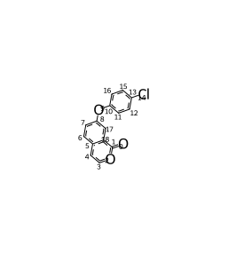 O=c1occc2ccc(Oc3ccc(Cl)cc3)cc12